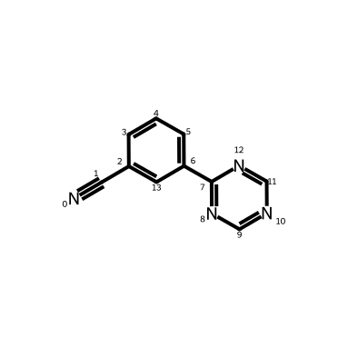 N#Cc1cccc(-c2ncncn2)c1